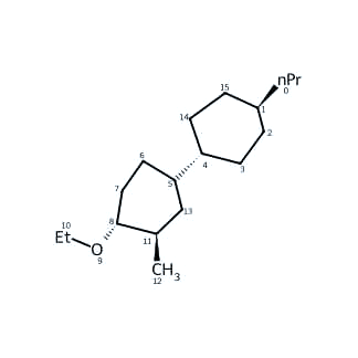 CCC[C@H]1CC[C@H](C2CC[C@@H](OCC)[C@H](C)C2)CC1